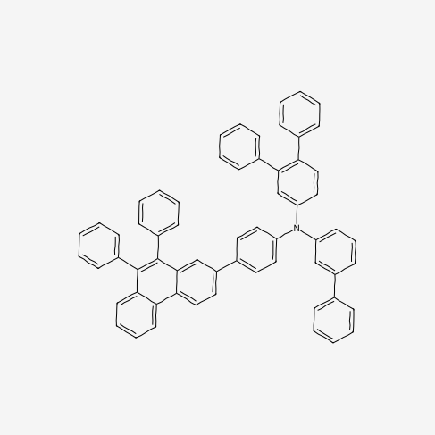 c1ccc(-c2cccc(N(c3ccc(-c4ccc5c(c4)c(-c4ccccc4)c(-c4ccccc4)c4ccccc45)cc3)c3ccc(-c4ccccc4)c(-c4ccccc4)c3)c2)cc1